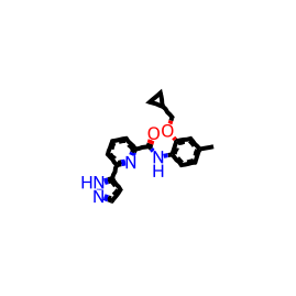 Cc1ccc(NC(=O)c2cccc(-c3ccn[nH]3)n2)c(OCC2CC2)c1